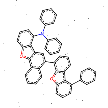 c1ccc(-c2cccc3oc4c(-c5cc6c(oc7cccc(N(c8ccccc8)c8ccccc8)c76)c6ccccc56)cccc4c23)cc1